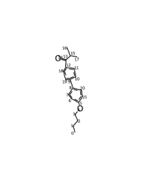 CCCCOc1ccc(-c2ccc(C(=O)C(C)C)cc2)cc1